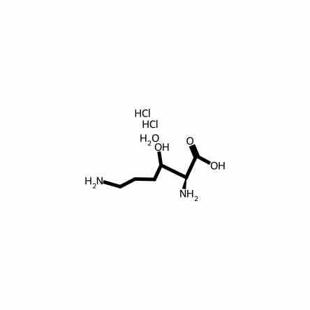 Cl.Cl.NCCCC(O)[C@H](N)C(=O)O.O